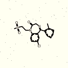 Cc1ccccc1C1=NCC(=O)N(CCS(C)(=O)=O)c2ccc(Cl)cc21